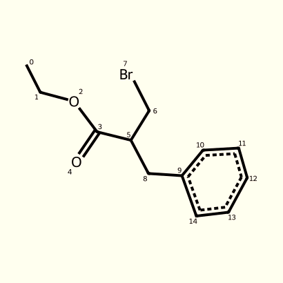 CCOC(=O)C(CBr)Cc1ccccc1